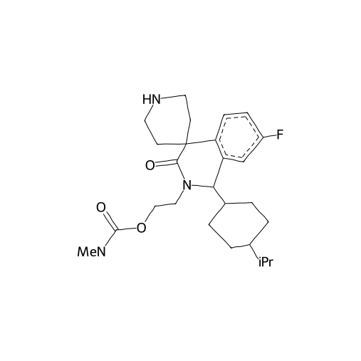 CNC(=O)OCCN1C(=O)C2(CCNCC2)c2ccc(F)cc2C1C1CCC(C(C)C)CC1